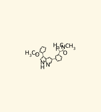 COc1ccccc1-c1c[nH]c2ncc(-c3cccc(C(F)C(=O)N(C)C)c3)cc12